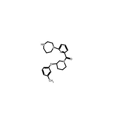 Cc1cccc(OC2CCCN(C(=O)c3cccc(N4CCCNCC4)n3)C2)c1